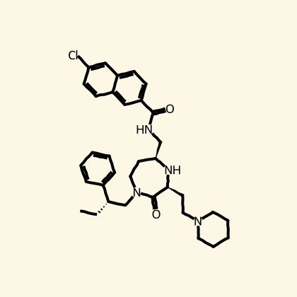 CC[C@@H](CN1CC[C@@H](CNC(=O)c2ccc3cc(Cl)ccc3c2)N[C@@H](CCN2CCCCC2)C1=O)c1ccccc1